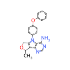 CC1OCc2c1c1ncnc(N)c1n2-c1ccc(Oc2ccccc2)cc1